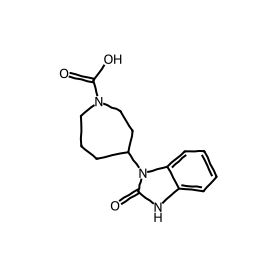 O=C(O)N1CCCC(n2c(=O)[nH]c3ccccc32)CC1